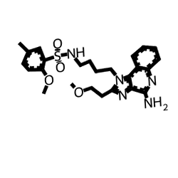 COCCc1nc2c(N)nc3ccccc3c2n1CCCCNS(=O)(=O)c1cc(C)ccc1OC